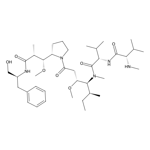 CC[C@H](C)[C@@H]([C@@H](CC(=O)N1CCC[C@H]1[C@H](OC)[C@@H](C)C(=O)N[C@H](CO)Cc1ccccc1)OC)N(C)C(=O)[C@@H](NC(=O)[C@@H](NC)C(C)C)C(C)C